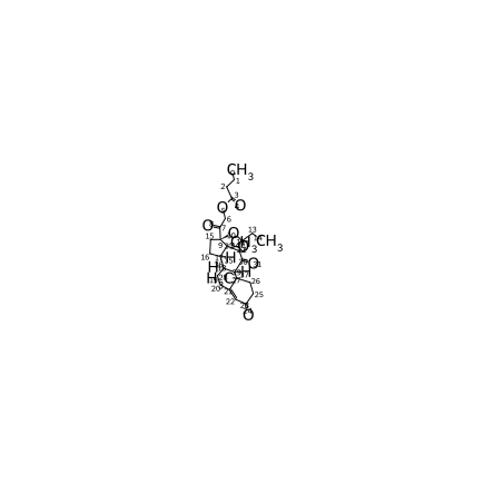 CCCC(=O)OCC(=O)[C@@]1(OC(=O)CC)CC[C@H]2[C@@H]3CCC4=CC(=O)CC[C@]4(C)[C@H]3C(=O)C[C@@]21C